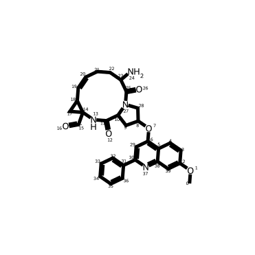 COc1ccc2c(OC3CC4C(=O)NC5([C]=O)CC5/C=C\CCC(N)C(=O)N4C3)cc(-c3ccccc3)nc2c1